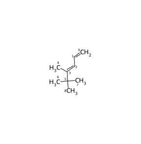 C=C/C=C(\C)C(C)(C)C